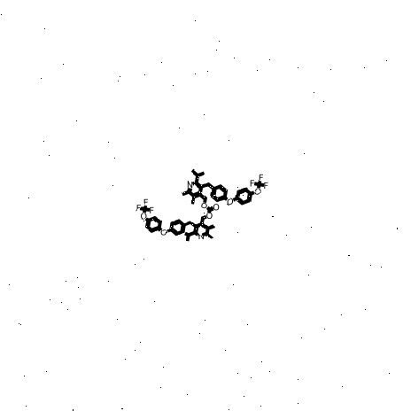 Cc1nc(C(C)C)c(Cc2ccc(Oc3ccc(OC(F)(F)F)cc3)cc2)c(COC(=O)OCc2c(C)c(C)nc(C(C)C)c2Cc2ccc(Oc3ccc(OC(F)(F)F)cc3)cc2)c1C